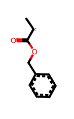 C[C]C(=O)OCc1ccccc1